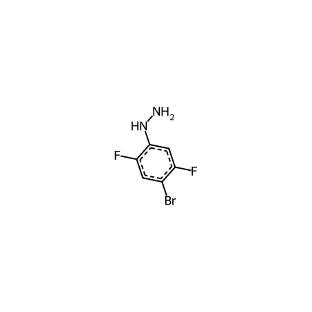 NNc1cc(F)c(Br)cc1F